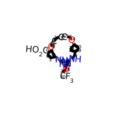 O=C(O)c1ccc2cc1OCCCCCCOc1ccc(cc1)CNc1nc(nc(OCC(F)(F)F)n1)N2